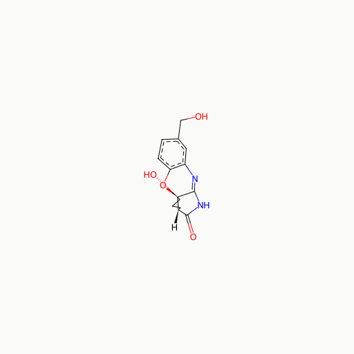 O=C1NC2=Nc3cc(CO)ccc3O[C@]23[C@H](O)CC[C@H]13